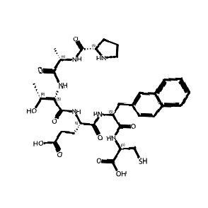 C[C@H](NC(=O)[C@@H]1CCCN1)C(=O)N[C@H](C(=O)N[C@@H](CCC(=O)O)C(=O)N[C@@H](Cc1ccc2ccccc2c1)C(=O)N[C@@H](CS)C(=O)O)[C@@H](C)O